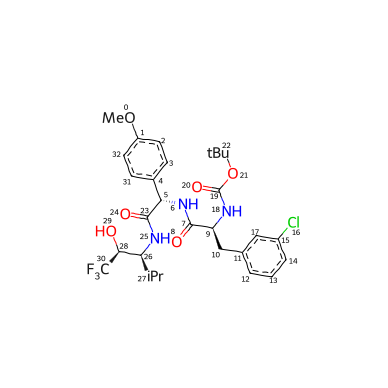 COc1ccc([C@H](NC(=O)[C@H](Cc2cccc(Cl)c2)NC(=O)OC(C)(C)C)C(=O)N[C@@H](C(C)C)[C@H](O)C(F)(F)F)cc1